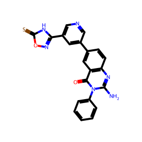 Nc1nc2ccc(-c3cncc(-c4noc(=S)[nH]4)c3)cc2c(=O)n1-c1ccccc1